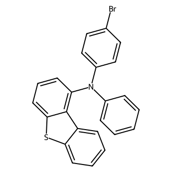 Brc1ccc(N(c2ccccc2)c2cccc3sc4ccccc4c23)cc1